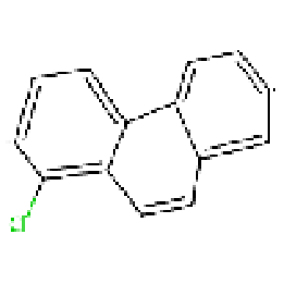 Clc1[c]ccc2c1ccc1c[c]ccc12